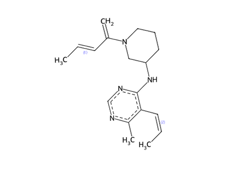 C=C(/C=C/C)N1CCCC(Nc2ncnc(C)c2/C=C\C)C1